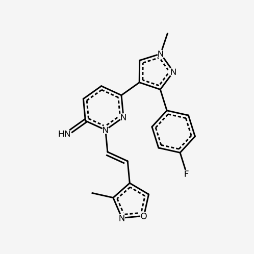 Cc1nocc1/C=C/n1nc(-c2cn(C)nc2-c2ccc(F)cc2)ccc1=N